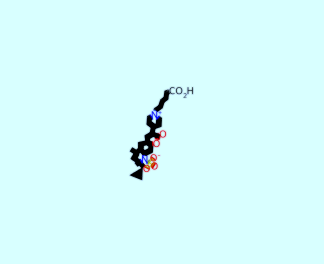 C1CC1.CC1=CC(C)(C)N(S(=O)(=O)[O-])c2cc3oc(=O)c(-c4cc[n+](CCCCCC(=O)O)cc4)cc3cc21